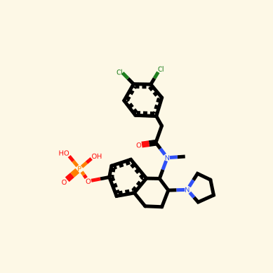 CN(C(=O)Cc1ccc(Cl)c(Cl)c1)C1c2ccc(OP(=O)(O)O)cc2CCC1N1CCCC1